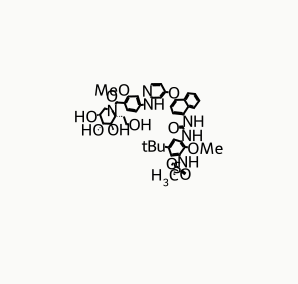 COc1cc(Nc2cc(Oc3ccc(NC(=O)Nc4cc(C(C)(C)C)cc(NS(C)(=O)=O)c4OC)c4ccccc34)ccn2)ccc1C(=O)N1C[C@H](O)[C@@H](O)[C@H](O)[C@H]1CCO